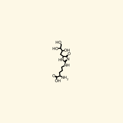 NC(CCCNC1=NC(=O)C(CC(O)C(O)CO)N1)C(=O)O